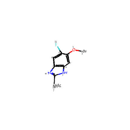 CCCCOc1cc2[nH]c(NC(C)=O)nc2cc1F